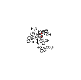 NCCNC(NC(=O)c1ccc2cccc(O)c2n1)C(CCN)(Cc1ccc([N+](=O)[O-])cc1)N(NC(=O)c1ccc2cccc(O)c2n1)NC(=O)c1ccc2cccc(O)c2n1.O=C(O)c1ccc2cccc(O)c2n1